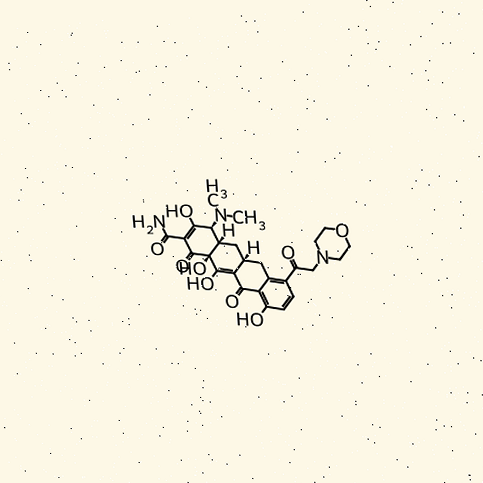 CN(C)[C@@H]1C(O)=C(C(N)=O)C(=O)[C@@]2(O)C(O)=C3C(=O)c4c(O)ccc(C(=O)CN5CCOCC5)c4C[C@H]3C[C@@H]12